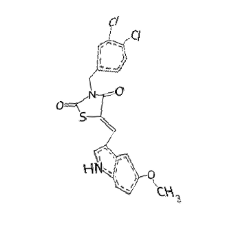 COc1ccc2[nH]cc(C=C3SC(=O)N(Cc4ccc(Cl)c(Cl)c4)C3=O)c2c1